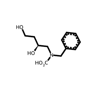 O=C(O)N(Cc1ccccc1)C[C@@H](O)CCO